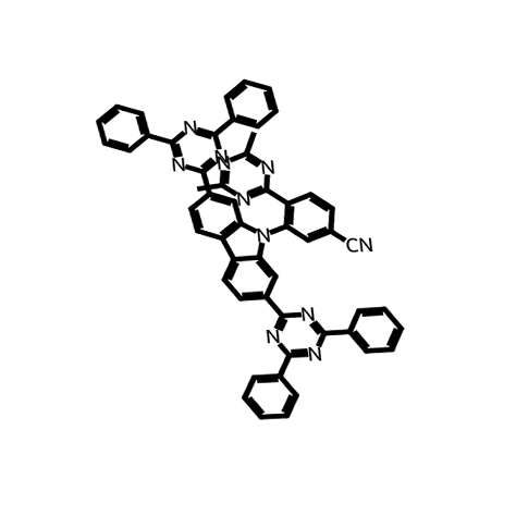 Cc1nc(C)nc(-c2ccc(C#N)cc2-n2c3cc(-c4nc(-c5ccccc5)nc(-c5ccccc5)n4)ccc3c3ccc(-c4nc(-c5ccccc5)nc(-c5ccccc5)n4)cc32)n1